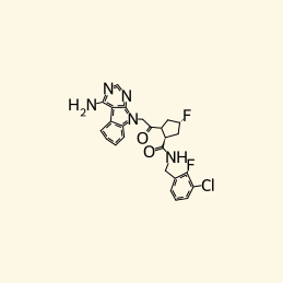 Nc1ncnc2c1c1ccccc1n2CC(=O)C1C[C@H](F)C[C@H]1C(=O)NCc1cccc(Cl)c1F